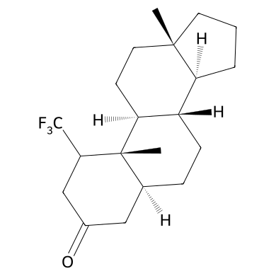 C[C@@]12CCC[C@H]1[C@@H]1CC[C@H]3CC(=O)CC(C(F)(F)F)[C@]3(C)[C@H]1CC2